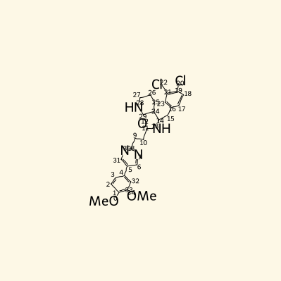 COc1ccc(-c2cnc(CCC(=O)NC(Cc3ccc(Cl)c(Cl)c3)C3CCCNC3)nc2)cc1OC